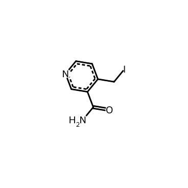 NC(=O)c1cnccc1CI